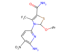 CC(C)OC1SC(C(N)=O)=C(C(F)(F)F)N1c1ccc([N+](=O)[O-])c(N)n1